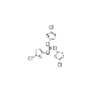 Clc1ccc(OB(Oc2ccc(Cl)s2)Oc2ccc(Cl)s2)s1